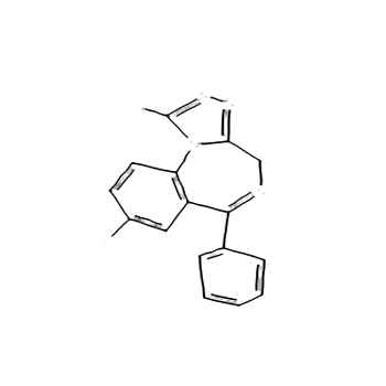 Fc1ccc2c(c1)C(c1ccccc1)=NCc1nnc(Cl)n1-2